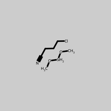 CO[SiH2]OC.N#CCCCCl